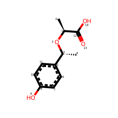 C[C@H](O[C@H](C)c1ccc(O)cc1)C(=O)O